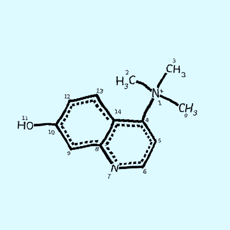 C[N+](C)(C)c1ccnc2cc(O)ccc12